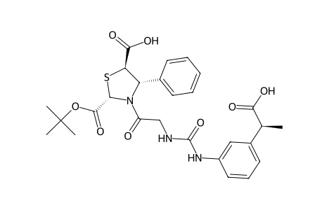 C[C@H](C(=O)O)c1cccc(NC(=O)NCC(=O)N2[C@H](C(=O)OC(C)(C)C)S[C@@H](C(=O)O)[C@@H]2c2ccccc2)c1